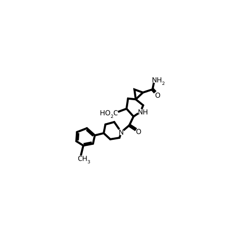 Cc1cccc(C2CCN(C(=O)C3NCC4(CC3C(=O)O)CC4C(N)=O)CC2)c1